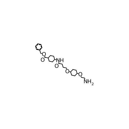 NCCOC1CCC(OCCCC(=O)NC2CCC(C(=O)OCc3ccccc3)CC2)CC1